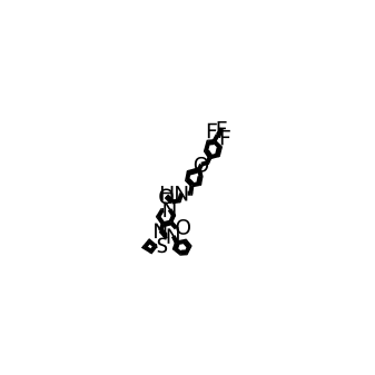 O=C(CNCc1ccc(OCc2ccc(C(F)(F)F)cc2)cc1)N1CCc2nc(SC3CCC3)n(-c3ccccc3)c(=O)c2C1